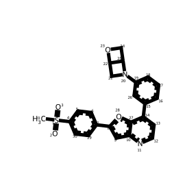 CS(=O)(=O)c1ccc(-c2cc3nccc(-c4cccc(N5CC6OCC65)c4)c3o2)cc1